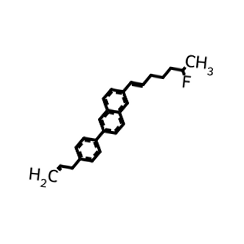 C=CCc1ccc(-c2ccc3cc(C=CCCCC(C)F)ccc3c2)cc1